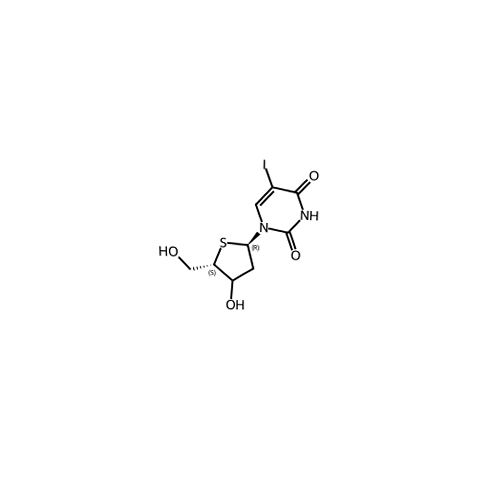 O=c1[nH]c(=O)n([C@H]2CC(O)[C@H](CO)S2)cc1I